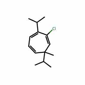 CC(C)C1=CC=CC(C)(C(C)C)C=C1Cl